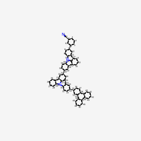 N#Cc1cccc(-c2ccc3c(c2)c2cccc4c5cc(-c6cc7c8ccccc8n8c9ccc(-c%10ccc%11c%12ccccc%12c%12ccccc%12c%11c%10)cc9c(c6)c78)ccc5n3c24)c1